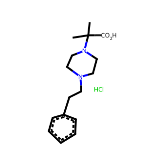 CC(C)(C(=O)O)N1CCN(CCc2ccccc2)CC1.Cl